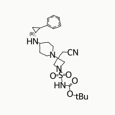 CC(C)(C)OC(=O)NS(=O)(=O)N1CC(CC#N)(N2CCC(N[C@@H]3CC3c3ccccc3)CC2)C1